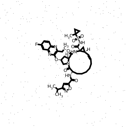 CCc1nc2ccc(F)cc2nc1O[C@@H]1C[C@H]2C(=O)N[C@]3(C(=O)NS(=O)(=O)C4(C)CC4)C[C@H]3C=CCCCCC[C@H](NC(=O)c3cc(C(C)C)no3)C(=O)N2C1